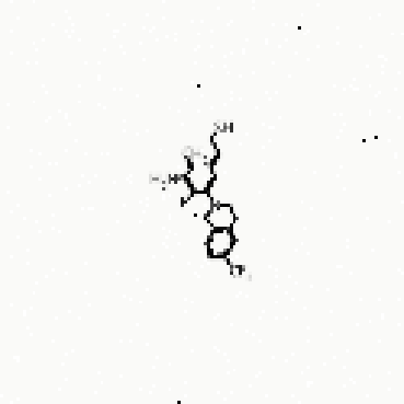 C=C\C(N)=C(F)/C(=C\C=C\CS)N1CCc2cc(C(F)(F)F)ccc2C1